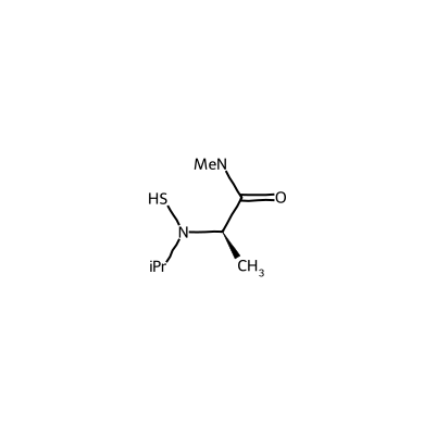 CNC(=O)[C@@H](C)N(S)C(C)C